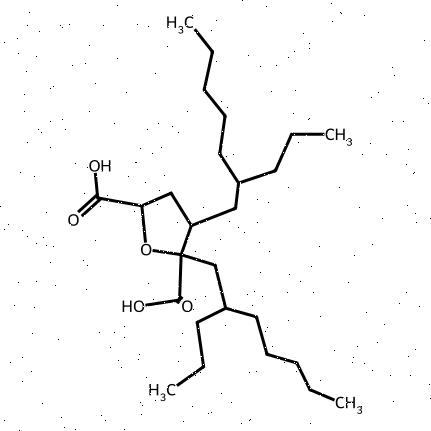 CCCCCC(CCC)CC1CC(C(=O)O)OC1(CC(CCC)CCCCC)C(=O)O